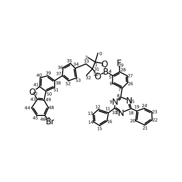 CC1(C)OB(c2cc(-c3nc(-c4ccccc4)nc(-c4ccccc4)n3)ccc2F)OC1(C)Cc1ccc(-c2ccc3oc4ccc(Br)cc4c3c2)cc1